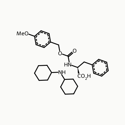 C1CCC(NC2CCCCC2)CC1.COc1ccc(COC(=O)N[C@@H](Cc2ccccc2)C(=O)O)cc1